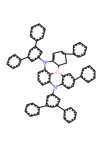 C1=C(c2ccccc2)CC2B3c4cc(-c5ccccc5)ccc4N(c4cc(-c5ccccc5)cc(-c5ccccc5)c4)c4cccc(c43)N(c3cc(-c4ccccc4)cc(-c4ccccc4)c3)C2=C1